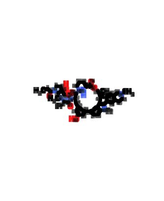 C=CC(=O)N1CC[C@](O)(C(=O)N(C)[C@H](C(=O)N[C@H]2Cc3cc(O)cc(c3)-c3ccc4c(c3)c(c(-c3ccc5c(c3)CCN(C)C5)n4CC)CC(C)(C)COC(=O)[C@@H]3CCCN(N3)C2=O)C(C)C)C1